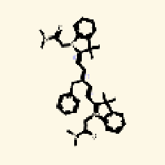 CN(C)C(=O)CN1/C(=C/C=C(/C=C/C2=[N+](CC(=O)N(C)C)c3ccccc3C2(C)C)Cc2ccccc2)C(C)(C)c2ccccc21